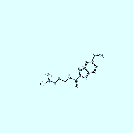 COc1ccc2cc(C(=O)OCCCN(C)C)sc2c1